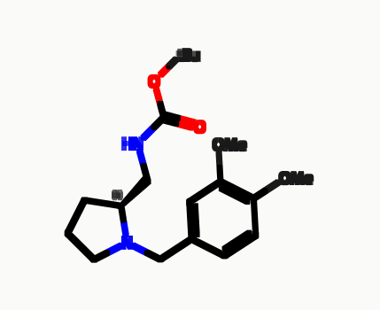 COc1ccc(CN2CCC[C@H]2CNC(=O)OC(C)(C)C)cc1OC